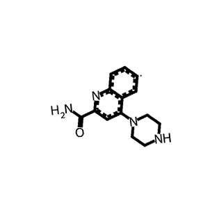 NC(=O)c1cc(N2CCNCC2)c2c[c]ccc2n1